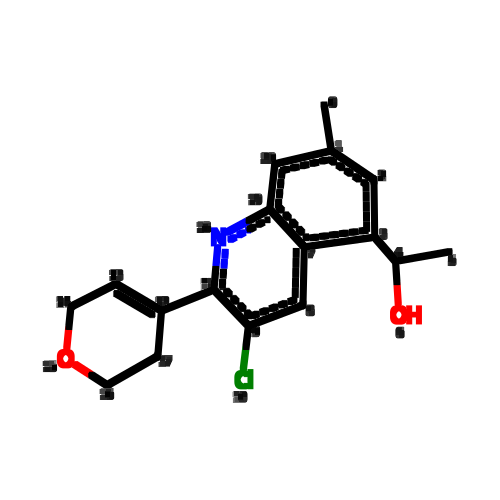 Cc1cc(C(C)O)c2cc(Cl)c(C3=CCOCC3)nc2c1